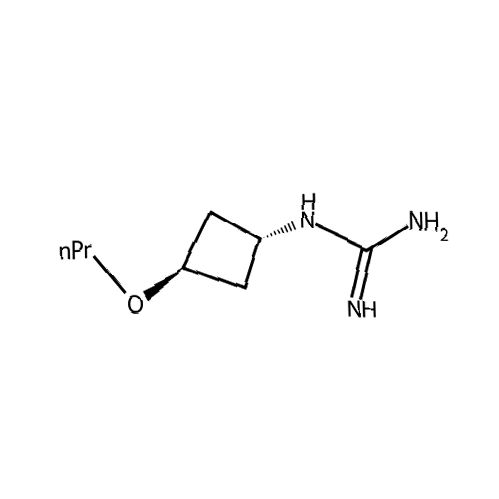 CCCO[C@H]1C[C@H](NC(=N)N)C1